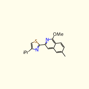 COc1nc(-c2nc(C(C)C)cs2)cc2cc(C)ccc12